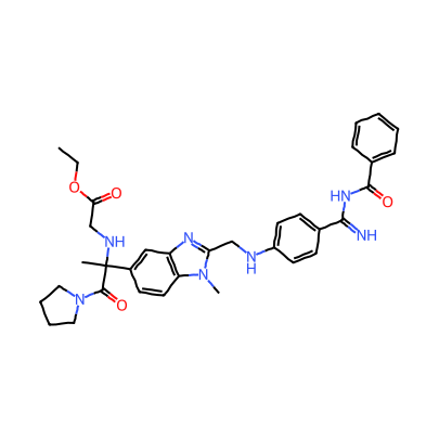 CCOC(=O)CNC(C)(C(=O)N1CCCC1)c1ccc2c(c1)nc(CNc1ccc(C(=N)NC(=O)c3ccccc3)cc1)n2C